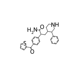 NC(=O)C(CC1CCNCC1c1ccccc1)c1ccc(C(=O)c2cccs2)cc1